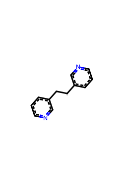 [CH](Cc1cccnc1)c1cccnc1